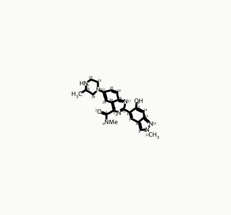 CNC(=O)c1nc(-c2cc3cn(C)nc3cc2O)nc2ccc(N3CCNC(C)C3)cc12